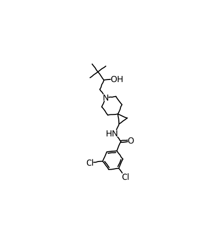 CC(C)(C)C(O)CN1CCC2(CC1)CC2NC(=O)c1cc(Cl)cc(Cl)c1